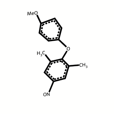 COc1ccc(Oc2c(C)cc(N=O)cc2C)cc1